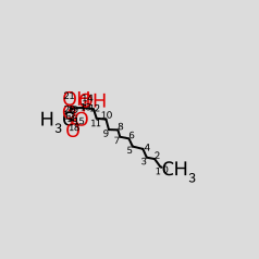 CCCCCCCCCCCCCC(O)(OC(C)=O)C(=O)O